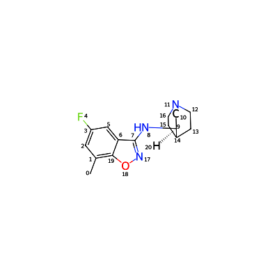 Cc1cc(F)cc2c(N[C@H]3CN4CCC3CC4)noc12